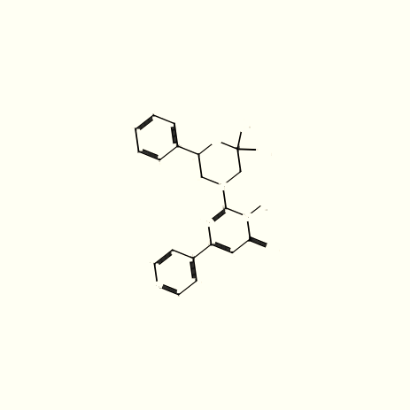 CCCCC1(C)CN(c2nc(-c3ccncc3)cc(=O)n2C)CC(c2ccccc2)O1